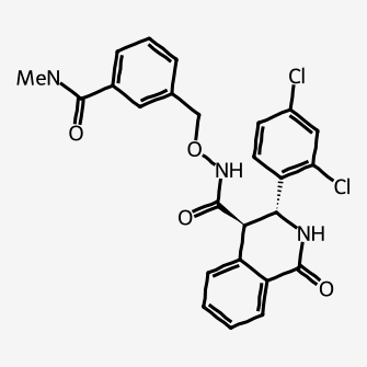 CNC(=O)c1cccc(CONC(=O)[C@@H]2c3ccccc3C(=O)N[C@H]2c2ccc(Cl)cc2Cl)c1